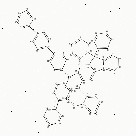 c1ccc(-c2ccc(-c3ccc(N(c4ccc(-c5ccccc5)cc4)c4cc5c(cc4-c4cccc6ccccc46)-c4ccccc4C5(c4ccccc4)c4ccccc4)cc3)cc2)cc1